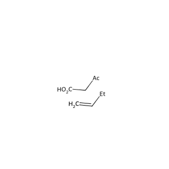 C=CCC.CC(=O)CC(=O)O